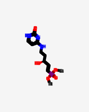 CCOP(=O)(/C=C/[C@H](O)CCNc1cc[nH]c(=O)n1)OCC